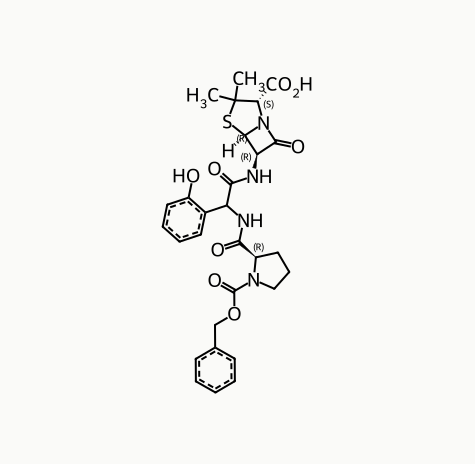 CC1(C)S[C@@H]2[C@H](NC(=O)C(NC(=O)[C@H]3CCCN3C(=O)OCc3ccccc3)c3ccccc3O)C(=O)N2[C@H]1C(=O)O